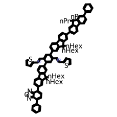 CCCCCCC1(CCCCCC)c2cc(-c3ccc4c(c3)C(CCC)(CCC)c3cc(-c5ccccc5)ccc3-4)ccc2-c2ccc(-c3cc(/C=C/c4cccs4)c(-c4ccc5c(c4)C(CCCCCC)(CCCCCC)c4cc(-c6ccc(-c7ccccc7)c7nonc67)ccc4-5)cc3/C=C/c3cccs3)cc21